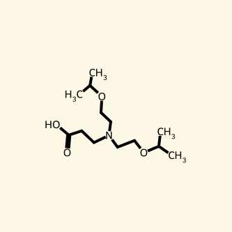 CC(C)OCCN(CCOC(C)C)CCC(=O)O